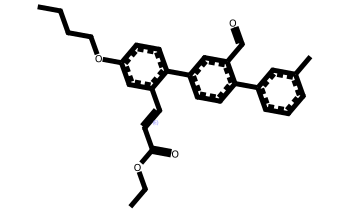 CCCCOc1ccc(-c2ccc(-c3cccc(C)c3)c(C=O)c2)c(/C=C/C(=O)OCC)c1